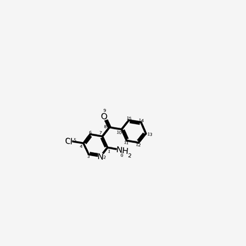 Nc1ncc(Cl)cc1C(=O)c1ccccc1